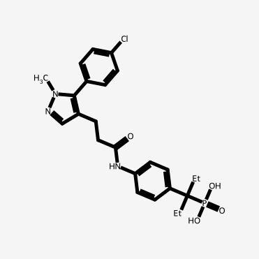 CCC(CC)(c1ccc(NC(=O)CCc2cnn(C)c2-c2ccc(Cl)cc2)cc1)P(=O)(O)O